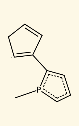 Cp1cccc1C1=[C]CC=C1